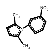 Cc1ccc(C)n1-c1cc[c]c([N+](=O)[O-])c1